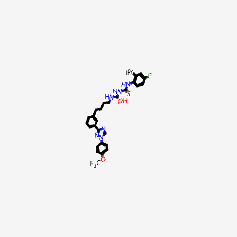 CC(C)c1cc(F)ccc1NC(=S)NC(O)NCCCCc1cccc(-c2ncn(-c3ccc(OC(F)(F)F)cc3)n2)c1